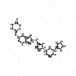 CN1CCN(Cc2ccc3nc(Cn4cc(-c5cncc(-n6cccc6)c5)nn4)cn3c2)CC1